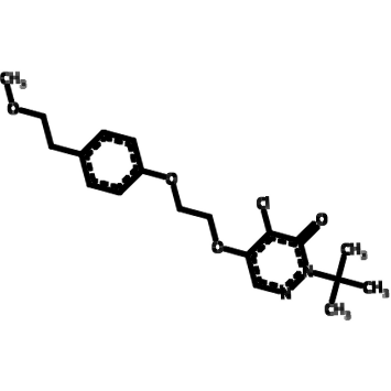 COCCc1ccc(OCCOc2cnn(C(C)(C)C)c(=O)c2Cl)cc1